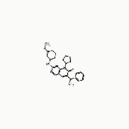 CCN1CCCC(Nc2ncc3cc(C(C)c4ccccc4)c(=O)n(C4CCCC4)c3n2)C1